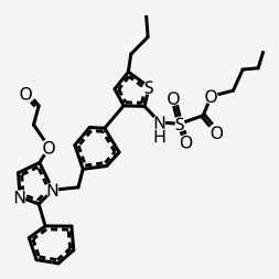 CCCCOC(=O)S(=O)(=O)Nc1sc(CCC)cc1-c1ccc(Cn2c(OCC=O)cnc2-c2ccccc2)cc1